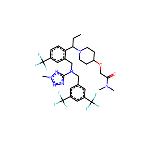 CCC(c1ccc(C(F)(F)F)cc1CN(Cc1cc(C(F)(F)F)cc(C(F)(F)F)c1)c1nnn(C)n1)N1CCC(OCC(=O)N(C)C)CC1